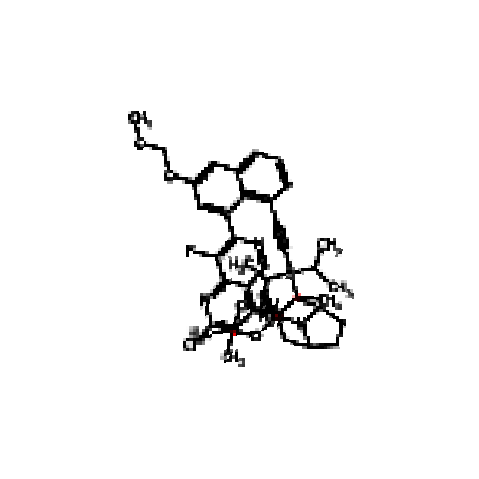 COCOc1cc(-c2ncc3c(N4CC5CCC(C4)N5C(=O)OC(C)(C)C)nc(Cl)nc3c2F)c2c(C#C[Si](C(C)C)(C(C)C)C(C)C)cccc2c1